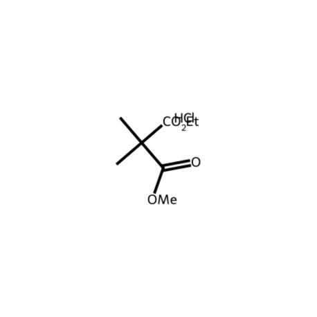 CCOC(=O)C(C)(C)C(=O)OC.Cl